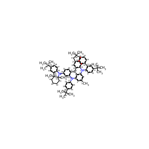 Cc1cc2c3c(c1)N(c1ccc(C(C)(C)C)cc1-c1ccccc1)c1cc4c(cc1B3c1ccc(N3c5ccc([Si](C)(C)C)cc5C5(C)CCCCC35C)cc1N2c1ccc(C(C)(C)C)cc1)CC(C)(C)C4